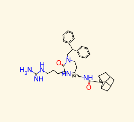 N=C(N)NCCC[C@@H]1N[C@H](CNC(=O)C2C3CC4CC5CC2C45C3)CCN(CC(c2ccccc2)c2ccccc2)C1=O